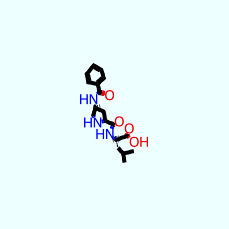 CC(C)C[C@H](NC(=O)C1C[C@@H](NC(=O)c2ccccc2)CN1)C(=O)O